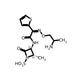 CC(N)CON=C(C(=O)N[C@@H]1C(=O)N(S(=O)(=O)O)[C@H]1C)c1cccs1